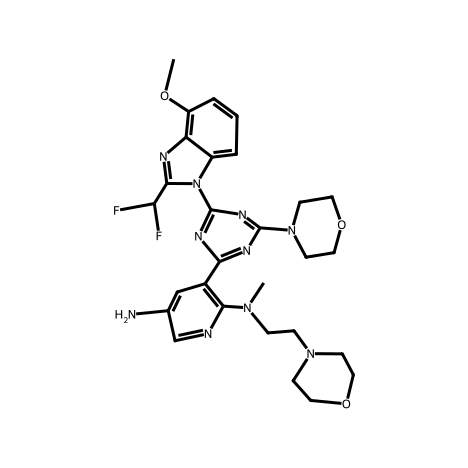 COc1cccc2c1nc(C(F)F)n2-c1nc(-c2cc(N)cnc2N(C)CCN2CCOCC2)nc(N2CCOCC2)n1